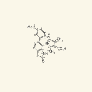 COc1cccc(-c2ccc3c(c2)NC(=O)C3)c1.Cc1[nH]c(C)c(C(=O)O)c1C